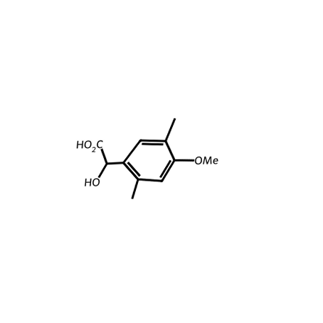 COc1cc(C)c(C(O)C(=O)O)cc1C